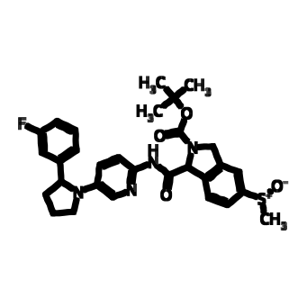 C[S+]([O-])c1ccc2c(c1)CN(C(=O)OC(C)(C)C)C2C(=O)Nc1ccc(N2CCCC2c2cccc(F)c2)cn1